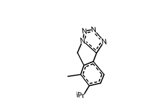 Cc1c(C(C)C)ccc2c1Cn1nnnc1-2